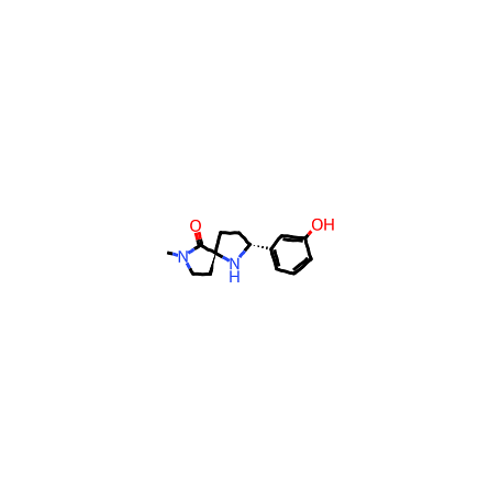 CN1CC[C@]2(CC[C@H](c3cccc(O)c3)N2)C1=O